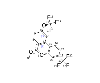 COC(=O)/C(C)=C(/C=C(\C)OC(F)(F)F)c1ccc(C(F)(F)F)cc1